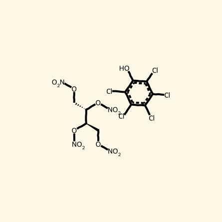 O=[N+]([O-])OC[C@H](O[N+](=O)[O-])[C@@H](CO[N+](=O)[O-])O[N+](=O)[O-].Oc1c(Cl)c(Cl)c(Cl)c(Cl)c1Cl